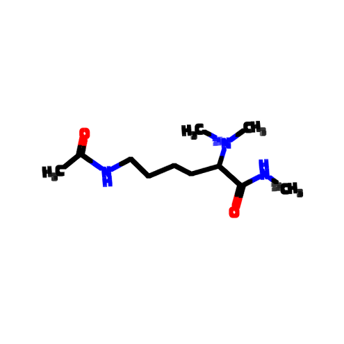 CC(=O)NCCCCC(C(=O)N[13CH3])[15N](C)C